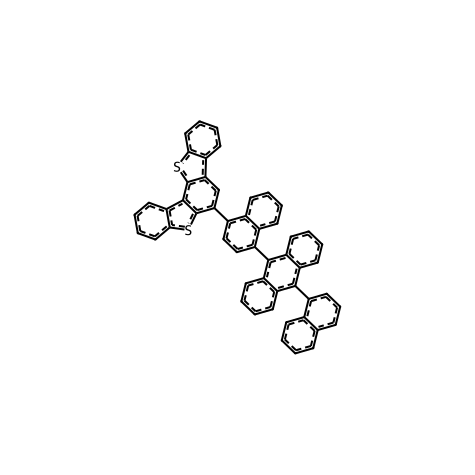 c1ccc2c(-c3c4ccccc4c(-c4ccc(-c5cc6c7ccccc7sc6c6c5sc5ccccc56)c5ccccc45)c4ccccc34)cccc2c1